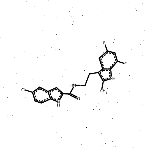 Cc1[nH]c2c(F)cc(F)cc2c1CCNC(=O)c1cc2cc(Cl)ccc2[nH]1